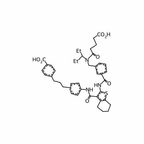 CCC(CC)N(Cc1cccc(C(=O)Nc2sc3c(c2C(=O)Nc2ccc(CCCc4ccc(C(=O)O)cc4)cc2)CCCC3)c1)C(=O)CCCC(=O)O